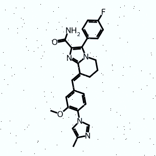 COc1cc(C=C2CCCn3c2nc(C(N)=O)c3-c2ccc(F)cc2)ccc1-n1cnc(C)c1